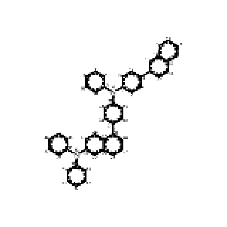 c1ccc(N(c2ccc(-c3ccc4ccccc4c3)cc2)c2ccc(-c3cccc4cc(N(c5ccccc5)c5ccccc5)ccc34)cc2)cc1